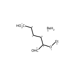 CCOC(C=O)CCCC(=O)O.[BeH2]